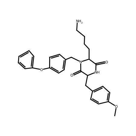 COc1ccc(CC2NC(=O)C(CCCCN)N(Cc3ccc(Oc4ccccc4)cc3)C2=O)cc1